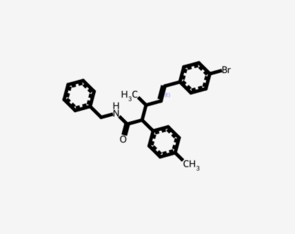 Cc1ccc(C(C(=O)NCc2ccccc2)C(C)/C=C/c2ccc(Br)cc2)cc1